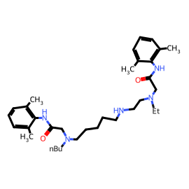 CCCCN(CCCCCNCCN(CC)CC(=O)Nc1c(C)cccc1C)CC(=O)Nc1c(C)cccc1C